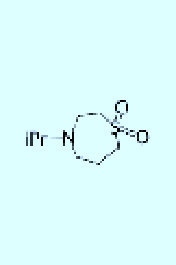 CC(C)N1CCCS(=O)(=O)CC1